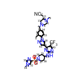 Cc1cc(CN2CCN(C)[C@@H](CC#N)C2)ccc1-n1cc(-c2nc(NC3CCN(S(=O)(=O)c4cn(C)cn4)CC3)ncc2C(F)(F)F)cn1